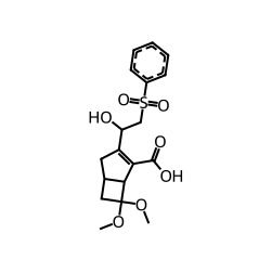 COC1(OC)CC2CC(C(O)CS(=O)(=O)c3ccccc3)=C(C(=O)O)C21